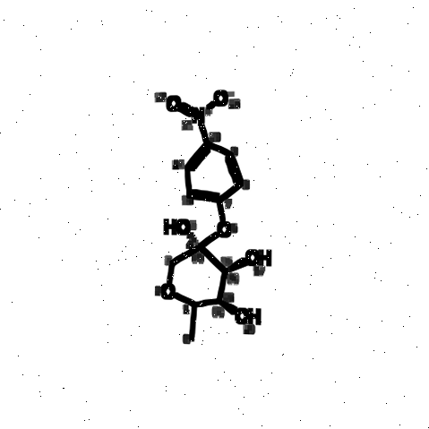 CC1OC[C@@](O)(Oc2ccc([N+](=O)[O-])cc2)[C@@H](O)[C@H]1O